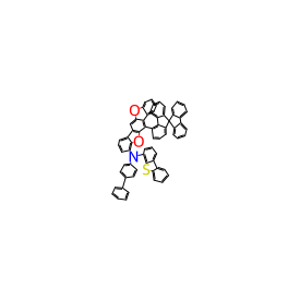 c1ccc(-c2ccc(N(c3cccc4c3oc3c(-c5cccc6c5-c5ccccc5C65c6ccccc6-c6ccccc65)c5c(cc34)oc3ccccc35)c3cccc4c3sc3ccccc34)cc2)cc1